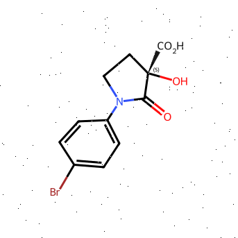 O=C(O)[C@]1(O)CCN(c2ccc(Br)cc2)C1=O